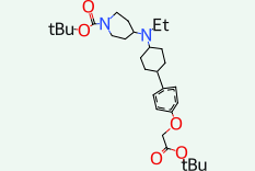 CCN(C1CCC(c2ccc(OCC(=O)OC(C)(C)C)cc2)CC1)C1CCN(C(=O)OC(C)(C)C)CC1